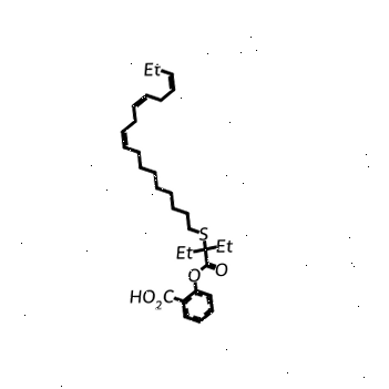 CC/C=C\C/C=C\C/C=C\CCCCCCCCSC(CC)(CC)C(=O)Oc1ccccc1C(=O)O